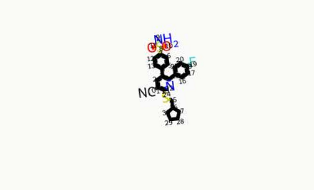 N#Cc1cc(-c2ccc(S(N)(=O)=O)cc2)c(-c2ccc(F)cc2)nc1SCC1CCCC1